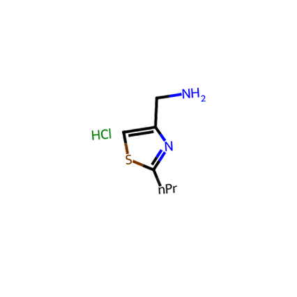 CCCc1nc(CN)cs1.Cl